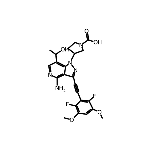 COc1cc(OC)c(F)c(C#Cc2nn(C3CCN(C(=O)O)C3)c3c(C(C)O)cnc(N)c23)c1F